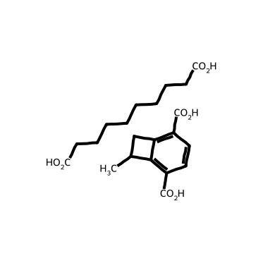 CC1Cc2c(C(=O)O)ccc(C(=O)O)c21.O=C(O)CCCCCCCCC(=O)O